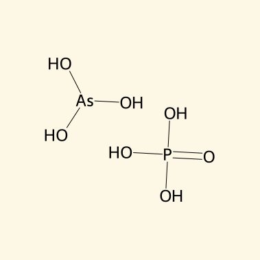 O=P(O)(O)O.O[As](O)O